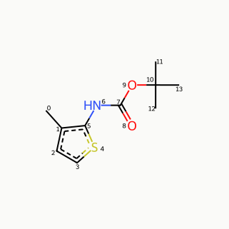 Cc1ccsc1NC(=O)OC(C)(C)C